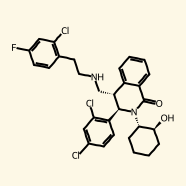 O=C1c2ccccc2[C@@H](CNCCc2ccc(F)cc2Cl)[C@H](c2ccc(Cl)cc2Cl)N1[C@H]1CCCC[C@@H]1O